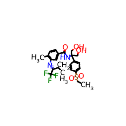 CCS(=O)(=O)c1ccc(C(CO)(CO)NC(=O)c2ccc(C)c(/N=C(\C(C)C)C(F)(F)F)c2)cc1